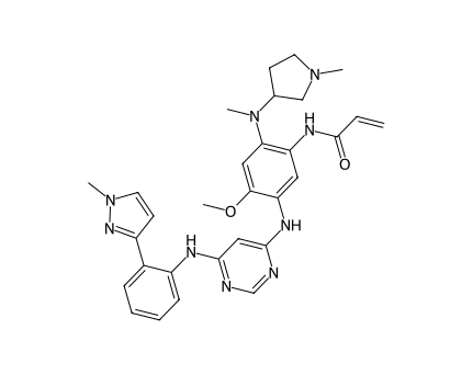 C=CC(=O)Nc1cc(Nc2cc(Nc3ccccc3-c3ccn(C)n3)ncn2)c(OC)cc1N(C)C1CCN(C)C1